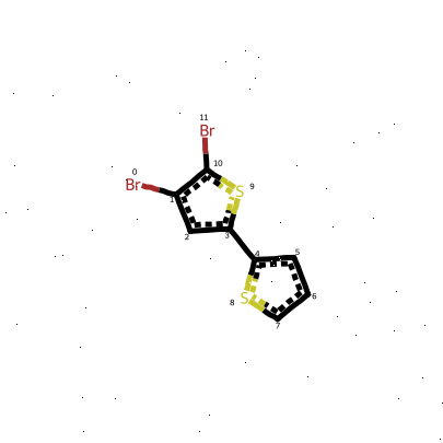 Brc1cc(-c2cccs2)sc1Br